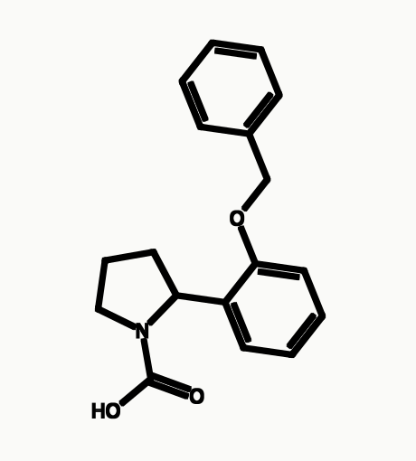 O=C(O)N1CCCC1c1ccccc1OCc1ccccc1